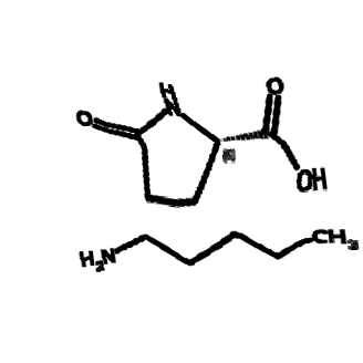 CCCCCN.O=C1CC[C@@H](C(=O)O)N1